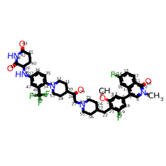 COc1cc(-c2cn(C)c(=O)c3ccc(F)cc23)cc(F)c1CC1CCN(CC(=O)C2CCN(c3ccc(NC4CCC(=O)NC4=O)cc3C(F)(F)F)CC2)CC1